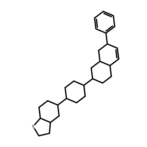 C1=CC2CCC(C3CCC(C4CCC5SCCC5C4)CC3)CC2CC1c1ccccc1